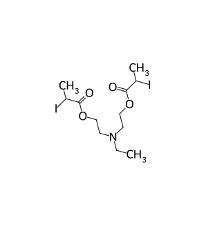 CCN(CCOC(=O)C(C)I)CCOC(=O)C(C)I